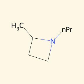 CCCN1CCC1C